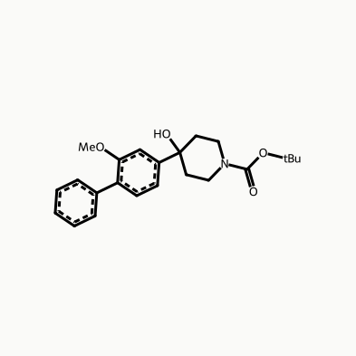 COc1cc(C2(O)CCN(C(=O)OC(C)(C)C)CC2)ccc1-c1ccccc1